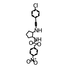 O=[N+]([O-])c1ccc(S(=O)(=O)NC2CCCC2NC#Cc2ccc(Cl)cc2)cc1